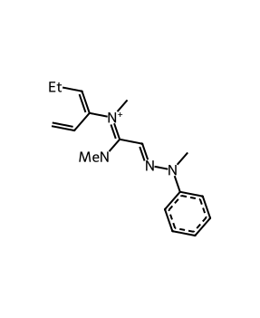 C=CC(=C\CC)/[N+](C)=C(/C=N/N(C)c1ccccc1)NC